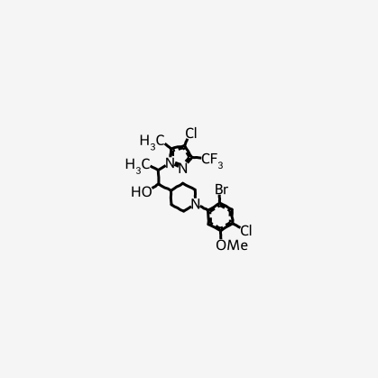 COc1cc(N2CCC(C(O)C(C)n3nc(C(F)(F)F)c(Cl)c3C)CC2)c(Br)cc1Cl